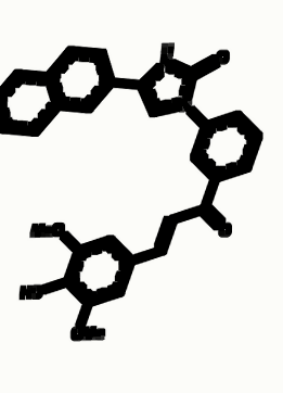 COc1cc(/C=C/C(=O)c2cccc(-n3cc(-c4ccc5ccccc5c4)[nH]c3=O)c2)cc(OC)c1O